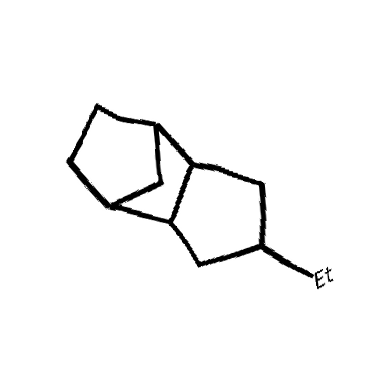 CCC1CC2C3CCC(C3)C2C1